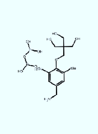 CC(C)(C)c1cc(CN)cc(C(C)(C)C)c1OCC(CO)(CO)CO.OP(O)OP(O)O